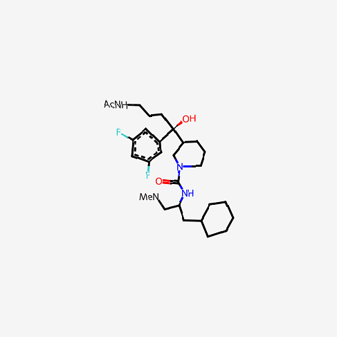 CNCC(CC1CCCCC1)NC(=O)N1CCCC([C@@](O)(CCCNC(C)=O)c2cc(F)cc(F)c2)C1